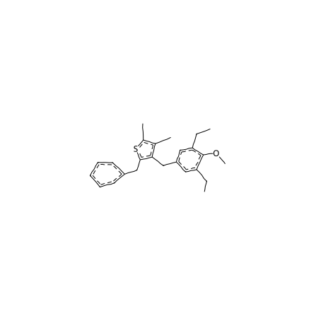 CCc1cc(Cc2c(Cc3ccccc3)sc(C)c2C)cc(CC)c1OC